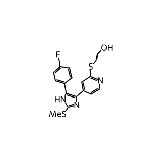 CSc1nc(-c2ccnc(SCCO)c2)c(-c2ccc(F)cc2)[nH]1